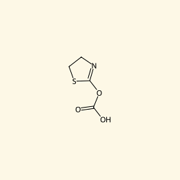 O=C(O)OC1=NCCS1